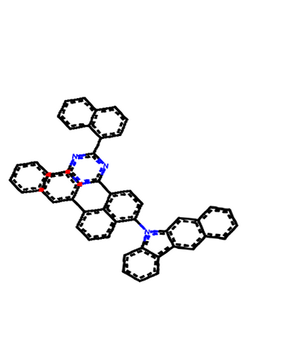 c1ccc(-c2nc(-c3cccc4ccccc34)nc(-c3ccc(-n4c5ccccc5c5cc6ccccc6cc54)c4cccc(-c5ccccc5)c34)n2)cc1